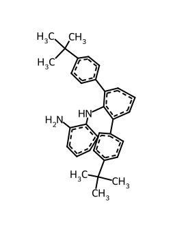 CC(C)(C)c1ccc(-c2cccc(-c3ccc(C(C)(C)C)cc3)c2Nc2ccccc2N)cc1